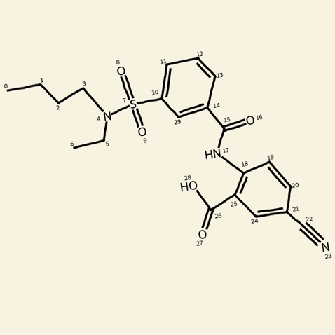 CCCCN(CC)S(=O)(=O)c1cccc(C(=O)Nc2ccc(C#N)cc2C(=O)O)c1